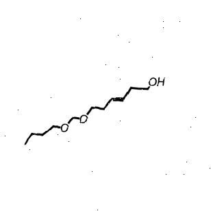 CCCCOCOCC/C=C/CCO